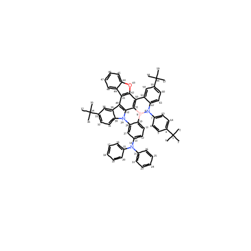 CC(C)(C)c1ccc(N2B3c4ccc(N(c5ccccc5)c5ccccc5)cc4-n4c5ccc(C(C)(C)C)cc5c5c6c(oc7ccccc76)c(c3c54)-c3cc(C(C)(C)C)ccc32)cc1